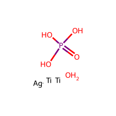 O.O=P(O)(O)O.[Ag].[Ti].[Ti]